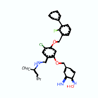 CC(C)CC(C=O)NCc1cc(Cl)c(OCc2cccc(-c3ccccc3)c2F)cc1OCC1=CC(=N)/C(=N\O)C=C1